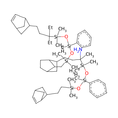 CCC(CC)(CCC1CC2C=CC1C2)[Si](C)(C)O[Si](C)(O[Si](C)(C)CC1C2CCC1C(CCC(C)(N)[Si](C)(C)O[Si](C)(O[Si](C)(C)CCC1CC3C=CC1C3)c1ccccc1)C2)c1ccccc1